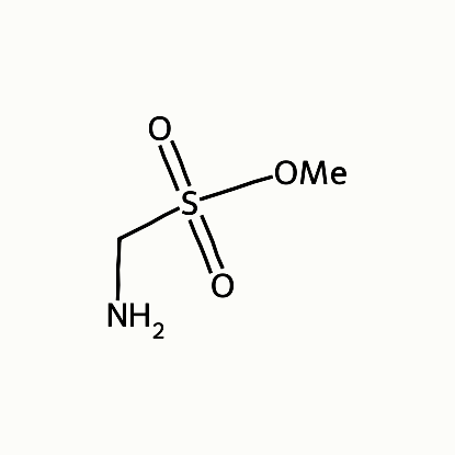 COS(=O)(=O)CN